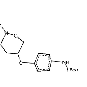 CCCCCNc1ccc(OC2CCN(C(C)=O)CC2)cc1